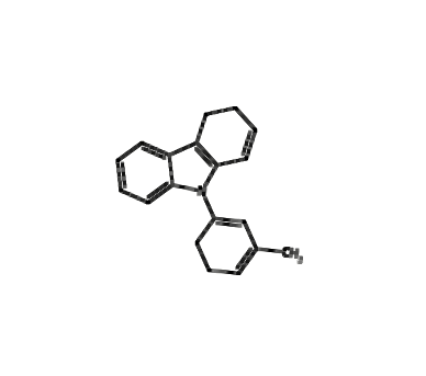 CC1=CCCC(n2c3c(c4ccccc42)CCC=C3)=C1